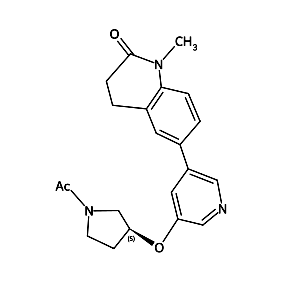 CC(=O)N1CC[C@H](Oc2cncc(-c3ccc4c(c3)CCC(=O)N4C)c2)C1